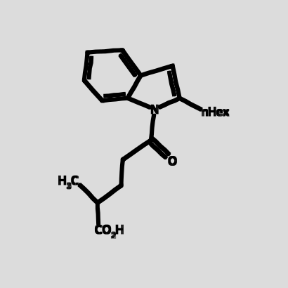 CCCCCCc1cc2ccccc2n1C(=O)CCC(C)C(=O)O